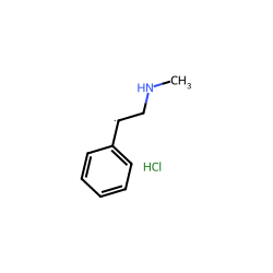 CNC[CH]c1ccccc1.Cl